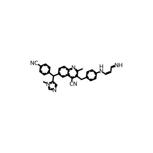 Cc1nc2ccc(C(c3ccc(C#N)cc3)c3cncn3C)cc2c(C#N)c1Cc1ccc(N/C=C\C=N)cc1